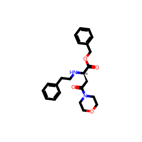 O=C(OCc1ccccc1)[C@@H](CC(=O)N1CCOCC1)NCCc1ccccc1